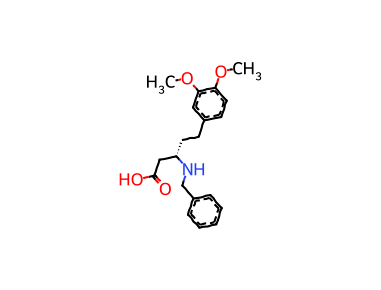 COc1ccc(CC[C@@H](CC(=O)O)NCc2ccccc2)cc1OC